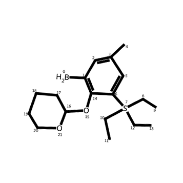 Bc1cc(C)cc(S(CC)(CC)CC)c1OC1CCCCO1